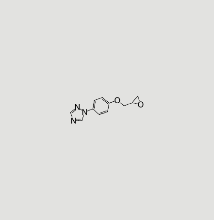 c1ncn(-c2ccc(OCC3CO3)cc2)n1